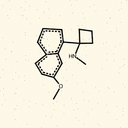 CNC1(c2cccc3ccc(OC)cc23)CCC1